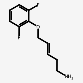 NCC/C=C/COc1c(F)cccc1F